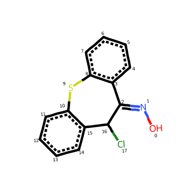 ON=C1c2ccccc2Sc2ccccc2C1Cl